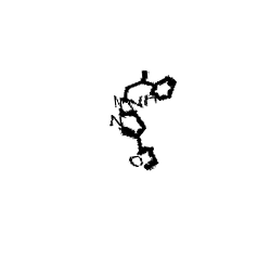 CC(Cc1nc2ncc(-c3ccco3)cc2[nH]1)c1ccccc1